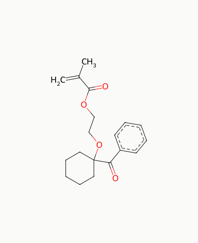 C=C(C)C(=O)OCCOC1(C(=O)c2ccccc2)CCCCC1